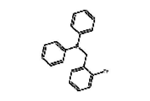 CCc1ccccc1CP(c1ccccc1)c1ccccc1